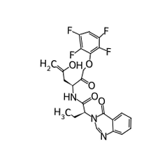 C=C(O)C[C@H](NC(=O)[C@H](CC)n1cnc2ccccc2c1=O)C(=O)COc1c(F)c(F)cc(F)c1F